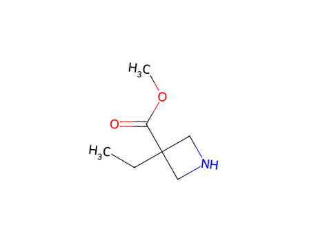 CCC1(C(=O)OC)CNC1